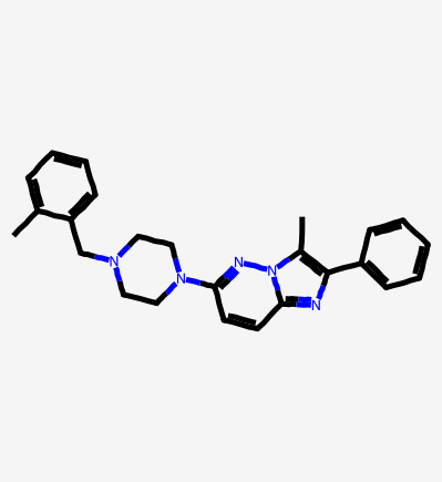 Cc1ccccc1CN1CCN(c2ccc3nc(-c4ccccc4)c(C)n3n2)CC1